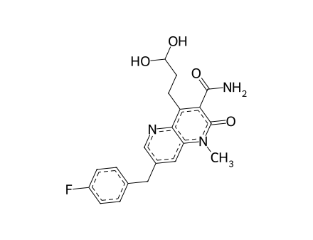 Cn1c(=O)c(C(N)=O)c(CCC(O)O)c2ncc(Cc3ccc(F)cc3)cc21